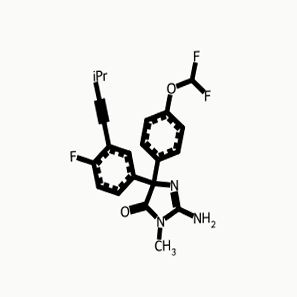 CC(C)C#Cc1cc(C2(c3ccc(OC(F)F)cc3)N=C(N)N(C)C2=O)ccc1F